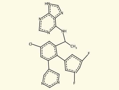 CC(Nc1ncnc2[nH]cnc12)c1cc(Cl)cc(-c2cncnc2)c1-c1cc(F)cc(F)c1